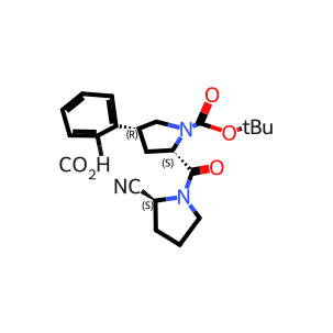 CC(C)(C)OC(=O)N1C[C@@H](c2ccccc2C(=O)O)C[C@H]1C(=O)N1CCC[C@H]1C#N